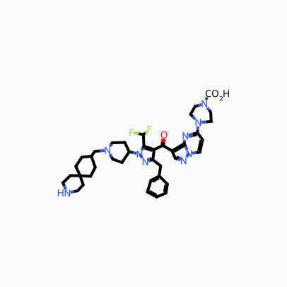 O=C(c1c(Cc2ccccc2)nn(C2CCN(CC3CCC4(CCNCC4)CC3)CC2)c1C(F)F)c1cnn2ccc(N3CCN(C(=O)O)CC3)nc12